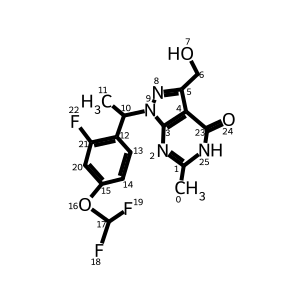 Cc1nc2c(c(CO)nn2C(C)c2ccc(OC(F)F)cc2F)c(=O)[nH]1